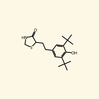 CC(C)(C)c1cc(CCC2SCNC2=O)cc(C(C)(C)C)c1O